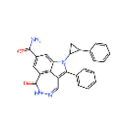 NC(=O)c1cc2c3c(c(-c4ccccc4)n(C4CC4c4ccccc4)c3c1)C=NNC2=O